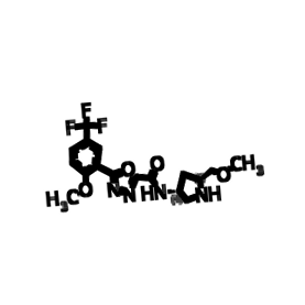 COC[C@@H]1C[C@@H](NC(=O)c2nnc(-c3cc(C(F)(F)F)ccc3OC)o2)CN1